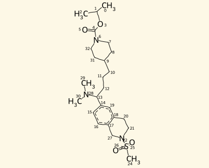 CC(C)OC(=O)N1CCC(CCCC(c2ccc3c(c2)CCN(S(C)(=O)=O)C3)N(C)C)CC1